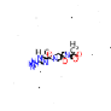 CO[C@@H](CN1CCC2(CC1)CCN(C1=C(C)C(=O)OC1)C2=O)c1cnc(-n2cnnn2)cn1